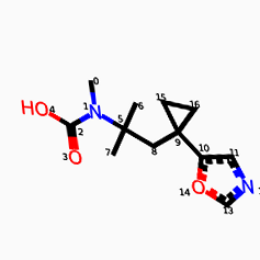 CN(C(=O)O)C(C)(C)CC1(c2cnco2)CC1